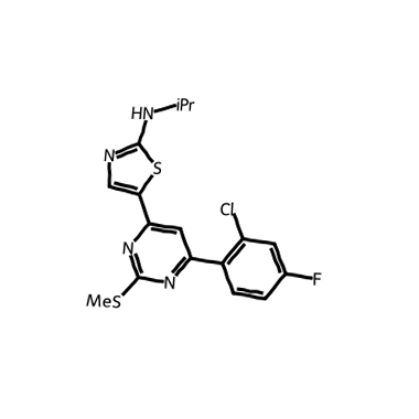 CSc1nc(-c2cnc(NC(C)C)s2)cc(-c2ccc(F)cc2Cl)n1